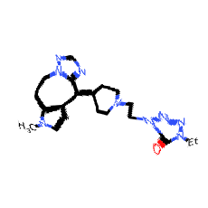 CCn1nnn(CCN2CCC(=C3c4ccn(C)c4CCn4ncnc43)CC2)c1=O